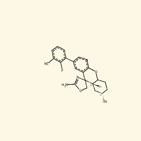 N#Cc1cccc(-c2ccc3c(c2)C2(COC(N)=N2)[C@H]2C[C@@H](O)CCC2O3)c1F